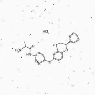 CC(N)C(=O)Nc1ccc(Oc2ccc3c(c2)CC[C@@H](c2ccccc2)O3)nc1.Cl